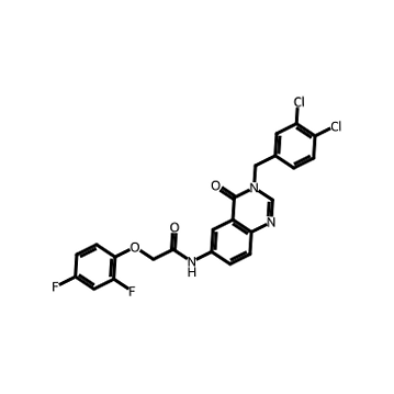 O=C(COc1ccc(F)cc1F)Nc1ccc2ncn(Cc3ccc(Cl)c(Cl)c3)c(=O)c2c1